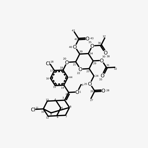 COC(=C1C2CC3CC1CC(Cl)(C3)C2)c1ccc(Cl)c(OC2OC(COC(C)=O)C(OC(C)=O)C(OC(C)=O)C2OC(C)=O)c1